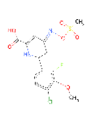 COc1c(Cl)ccc(C2CC(=NOS(C)(=O)=O)C=C(C(=O)O)N2)c1F